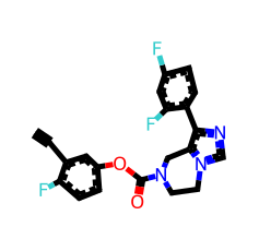 C#Cc1cc(OC(=O)N2CCn3cnc(-c4ccc(F)cc4F)c3C2)ccc1F